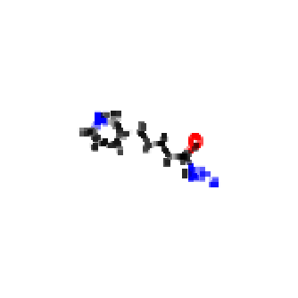 NC(=O)CCCCc1cccnc1